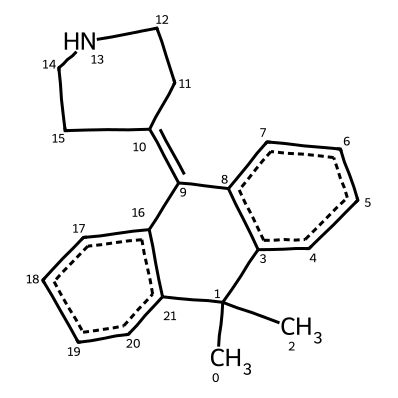 CC1(C)c2ccccc2C(=C2CCNCC2)c2ccccc21